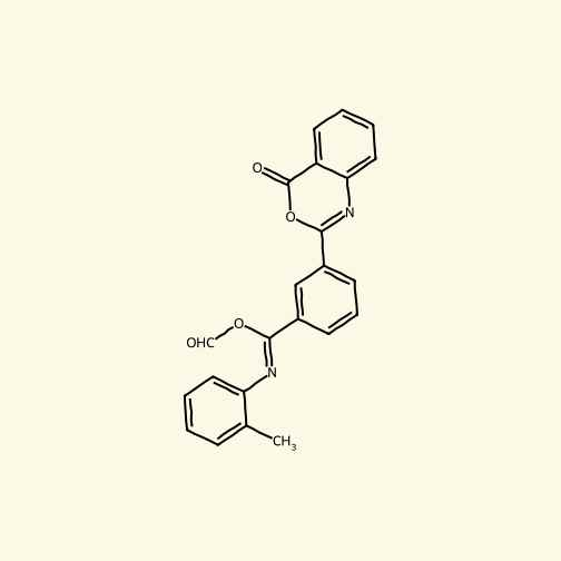 Cc1ccccc1/N=C(\OC=O)c1cccc(-c2nc3ccccc3c(=O)o2)c1